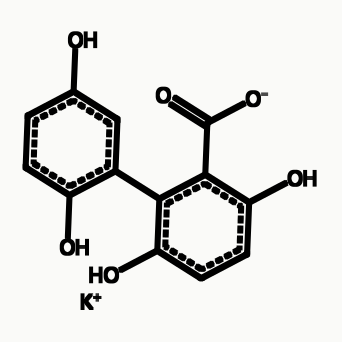 O=C([O-])c1c(O)ccc(O)c1-c1cc(O)ccc1O.[K+]